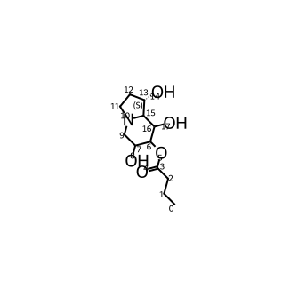 CCCC(=O)OC1C(O)CN2CC[C@H](O)C2C1O